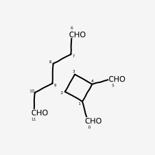 O=CC1CCC1C=O.O=CCCCCC=O